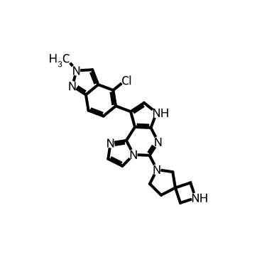 Cn1cc2c(Cl)c(-c3c[nH]c4nc(N5CCC6(CNC6)C5)n5ccnc5c34)ccc2n1